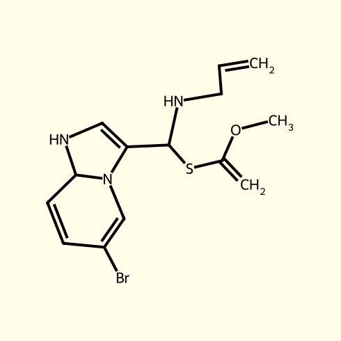 C=CCNC(SC(=C)OC)C1=CNC2C=CC(Br)=CN12